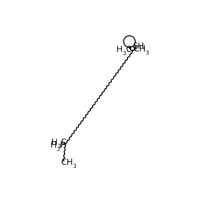 CCCCCCCCCC(C)(P)CCCCCCCCCCCCCCCCCCCCCCCCCCCCCCCCCCCCCCCCCCCCCCCCCCCCCCCCCC1=CC(C)(S)C2CCCCCCCCCCCCCCC2(C)C1